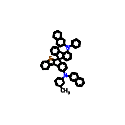 CC1C=CC=C(N(c2ccc3c(c2)-c2c(sc4ccccc24)C32c3ccccc3-c3c(N(c4ccccc4)c4ccc5ccccc5c4)cccc32)c2ccc3ccccc3c2)C1